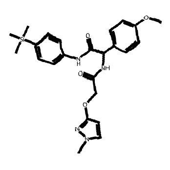 COc1ccc(C(NC(=O)COc2ccn(C)n2)C(=O)Nc2ccc([Si](C)(C)C)cc2)cc1